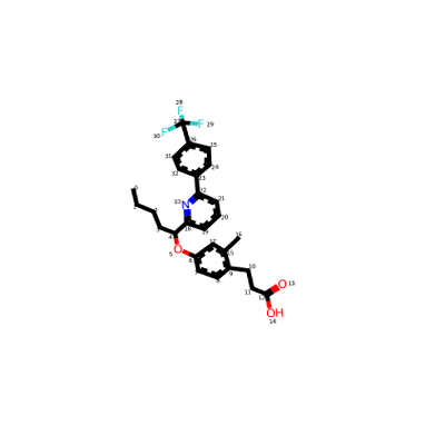 CCCCC(Oc1ccc(CCC(=O)O)c(C)c1)c1cccc(-c2ccc(C(F)(F)F)cc2)n1